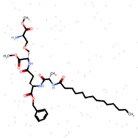 CCCCCCCCCCCCCC(=O)N[C@@H](C)C(=O)N[C@H](CCC(=O)N[C@@H](COC[C@@H](N)C(=O)OC)C(=O)OC)C(=O)OCc1ccccc1